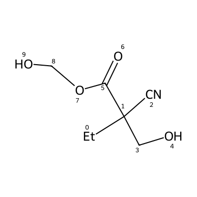 CCC(C#N)(CO)C(=O)OCO